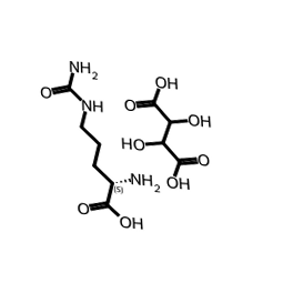 NC(=O)NCCC[C@H](N)C(=O)O.O=C(O)C(O)C(O)C(=O)O